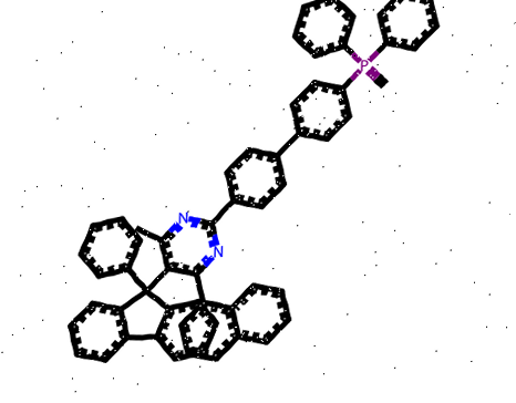 C=P(c1ccccc1)(c1ccccc1)c1ccc(-c2ccc(-c3nc(C)c(C4(c5ccccc5)c5ccccc5-c5ccccc54)c(-c4cccc5ccccc45)n3)cc2)cc1